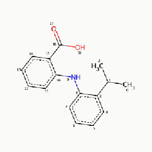 CC(C)c1ccccc1Nc1ccccc1C(=O)O